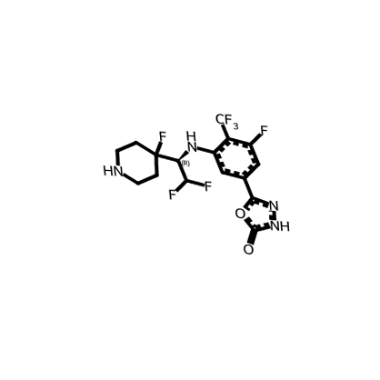 O=c1[nH]nc(-c2cc(F)c(C(F)(F)F)c(N[C@@H](C(F)F)C3(F)CCNCC3)c2)o1